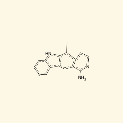 Cc1c2ccnc(N)c2cc2c1[nH]c1ccncc12